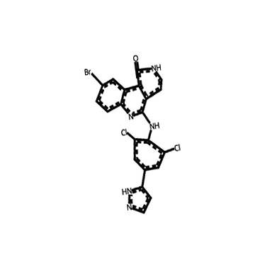 O=c1[nH]ccc2c(Nc3c(Cl)cc(-c4ccn[nH]4)cc3Cl)nc3ccc(Br)cc3c12